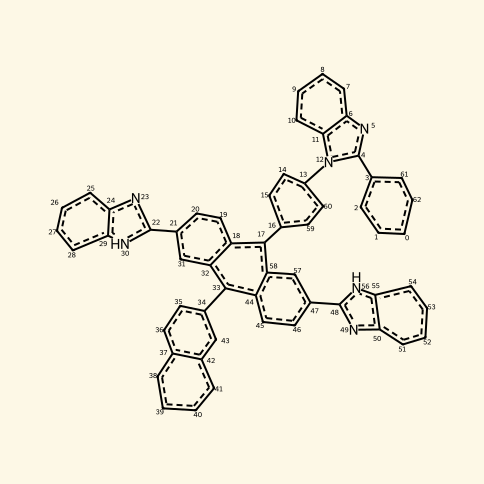 c1ccc(-c2nc3ccccc3n2-c2ccc(-c3c4ccc(-c5nc6ccccc6[nH]5)cc4c(-c4ccc5ccccc5c4)c4ccc(-c5nc6ccccc6[nH]5)cc34)cc2)cc1